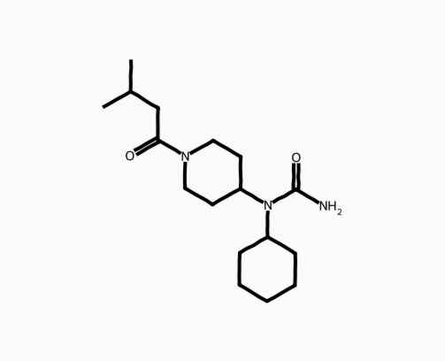 CC(C)CC(=O)N1CCC(N(C(N)=O)C2CCCCC2)CC1